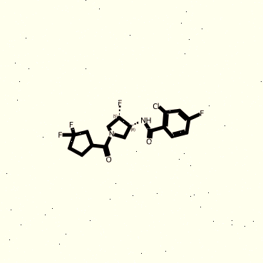 O=C(N[C@@H]1CN(C(=O)C2CCC(F)(F)C2)C[C@@H]1F)c1ccc(F)cc1Cl